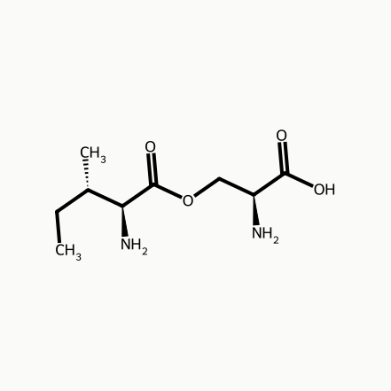 CC[C@H](C)[C@H](N)C(=O)OC[C@H](N)C(=O)O